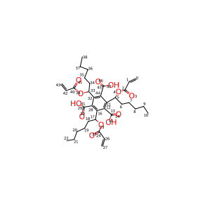 C=CC(=O)OC(CCCCC)c1c(C(=O)O)c(C(CCCCC)OC(=O)C=C)c(C(=O)O)c(C(CCCCC)OC(=O)C=C)c1C(=O)O